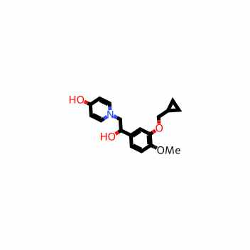 COc1ccc(C(O)CN2C=CC(O)C=C2)cc1OCC1CC1